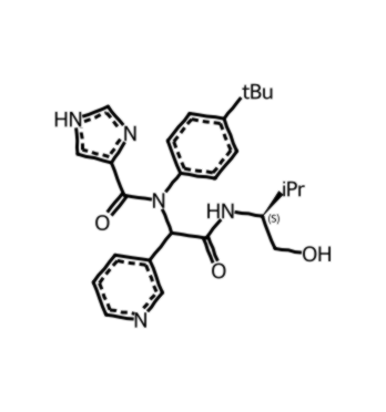 CC(C)[C@@H](CO)NC(=O)C(c1cccnc1)N(C(=O)c1c[nH]cn1)c1ccc(C(C)(C)C)cc1